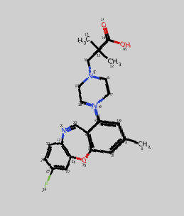 Cc1cc2c(c(N3CCN(CC(C)(C)C(=O)O)CC3)c1)C=Nc1ccc(F)cc1O2